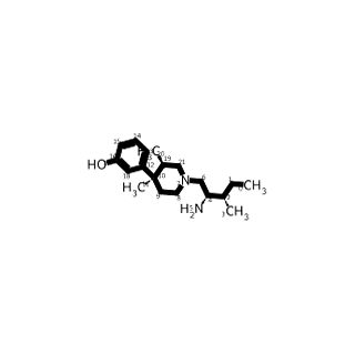 CC[C@H](C)[C@H](N)CN1CC[C@@](C)(c2cccc(O)c2)[C@@H](C)C1